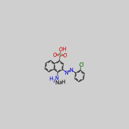 Nc1c(N=Nc2ccccc2Cl)cc(S(=O)(=O)O)c2ccccc12.[NaH]